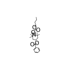 CCCCOC(=O)ON1C(C)(C)CC(OC(=O)c2ccccc2)CC1(C)C